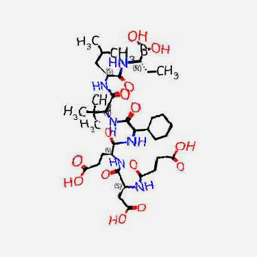 CC[C@H](NC(=O)[C@H](CC(C)C)NC(=O)[C@@H](NC(=O)C(NC(=O)[C@H](CCC(=O)O)NC(=O)[C@H](CC(=O)O)NC(=O)CCC(=O)O)C1CCCCC1)C(C)(C)C)B(O)O